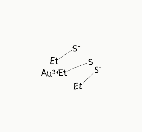 CC[S-].CC[S-].CC[S-].[Au+3]